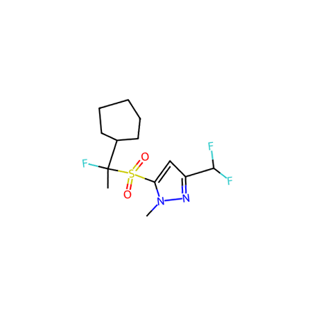 Cn1nc(C(F)F)cc1S(=O)(=O)C(C)(F)C1CCCCC1